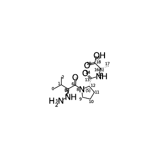 CC(C)[C@H](NN)C(=O)N1CCC[C@H]1C(=O)N[C@@H](C)C(=O)O